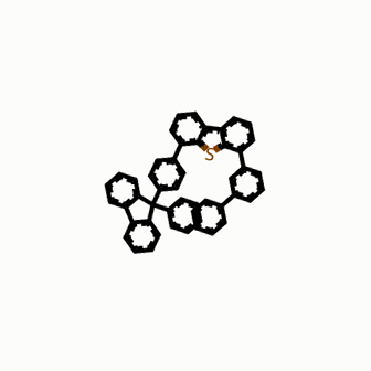 c1ccc(-c2cccc(-c3cccc4c3sc3c(-c5ccc(C6(c7ccccc7)c7ccccc7-c7ccccc76)cc5)cccc34)c2)cc1